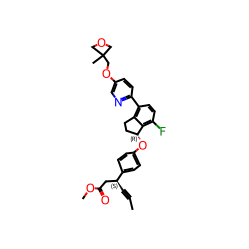 CC#C[C@@H](CC(=O)OC)c1ccc(O[C@@H]2CCc3c(-c4ccc(OCC5(C)COC5)cn4)ccc(F)c32)cc1